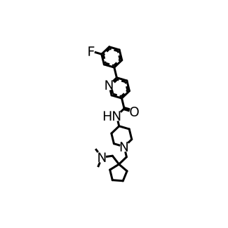 CN(C)CC1(CN2CCC(NC(=O)c3ccc(-c4cccc(F)c4)nc3)CC2)CCCC1